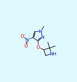 Cn1cc([N+](=O)[O-])c(OC2CNC2(C)C)n1